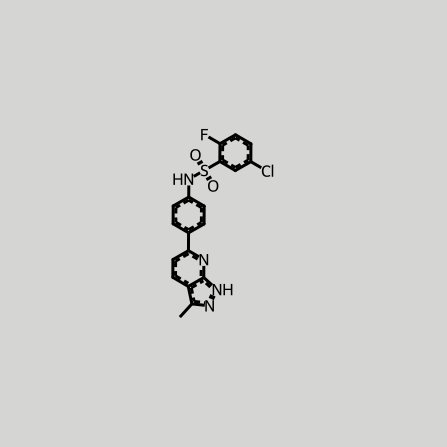 Cc1n[nH]c2nc(-c3ccc(NS(=O)(=O)c4cc(Cl)ccc4F)cc3)ccc12